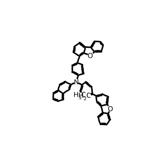 C=C(/C=C\C(=C/C)N(c1ccc(-c2cccc3c2oc2ccccc23)cc1)c1ccc2ccccc2c1)c1ccc2oc3ccccc3c2c1